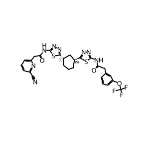 N#Cc1cccc(CC(=O)Nc2nnc([C@H]3CCC[C@H](c4nnc(NC(=O)Cc5cccc(OC(F)(F)F)c5)s4)C3)s2)n1